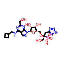 O=P(O)(O)[C@@](CO)(Cc1nn[nH]n1)OC[C@H]1O[C@@H](n2ncc3c(NCC4CCC4)nc(CO)nc32)[C@H](O)[C@@H]1O